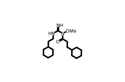 CON(C(=N)NCCC1CCCCC1)C(=O)CCC1CCCCC1